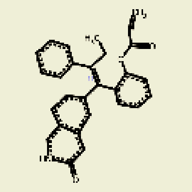 C=CC(=O)Oc1ccccc1/C(=C(\CC)c1ccccc1)c1ccc2c[nH]c(=O)cc2c1